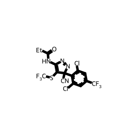 CCC(=O)NC1=C(SC(F)(F)F)C(C#N)(c2c(Cl)cc(C(F)(F)F)cc2Cl)N=N1